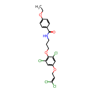 CCOc1ccc(C(=O)NCCCOc2c(Cl)cc(OCC=C(Cl)Cl)cc2Cl)cc1